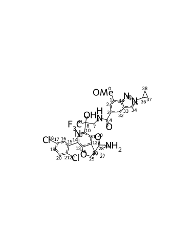 COc1cc(C(=O)NCC(O)(c2cc3c(c(-c4cc(Cl)ccc4Cl)n2)OC[C@]3(C)C(N)=O)C(F)(F)F)cc2cn(C3CC3)nc12